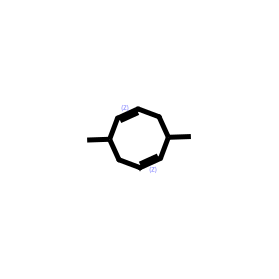 CC1/C=C\CC(C)/C=[C]\C1